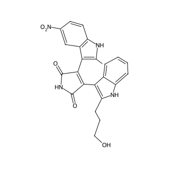 Cc1[nH]c2ccc([N+](=O)[O-])cc2c1C1=C(c2c(CCCO)[nH]c3ccccc23)C(=O)NC1=O